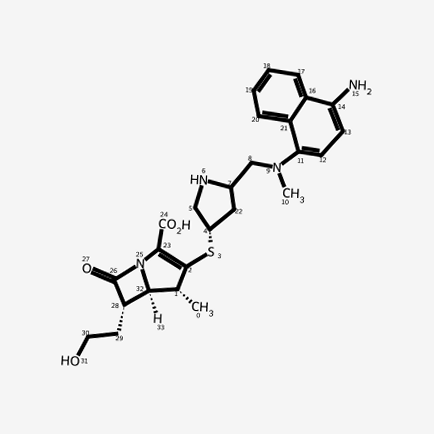 C[C@H]1C(S[C@@H]2CNC(CN(C)c3ccc(N)c4ccccc34)C2)=C(C(=O)O)N2C(=O)[C@@H](CCO)[C@H]12